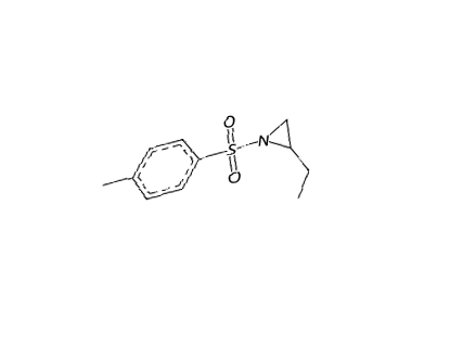 CCC1CN1S(=O)(=O)c1ccc(C)cc1